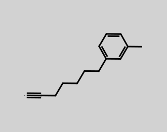 [C]#CCCCCCc1cccc(C)c1